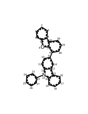 [c]1cccc2c1oc1c(-c3ccc4c(c3)c3ccccc3n4-c3ccccc3)cccc12